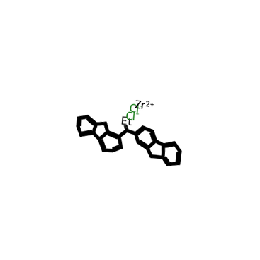 CCC(c1ccc2c(c1)Cc1ccccc1-2)c1cccc2c1Cc1ccccc1-2.[Cl-].[Cl-].[Zr+2]